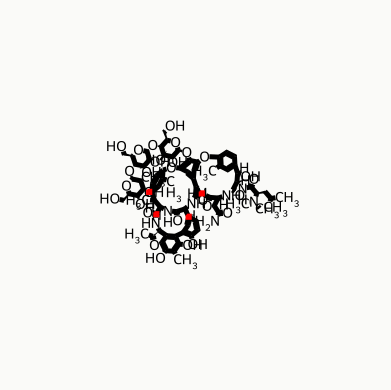 CC(=O)[C@@H]1NC(=O)[C@H]2NC(=O)[C@H](NC(=O)[C@@H]3NC(=O)[C@H](CC(N)=O)NC(=O)[C@H](NC(=O)[C@@H](CC(C)C)N(C)C)[C@H](O)c4ccc(c(C)c4)Oc4cc3cc(c4O[C@@H]3O[C@H](CO)[C@@H](O[C@@H]4O[C@H](CO)[C@@H](O[C@@H]5O[C@H](CO)[C@H](O)[C@H](O)[C@H]5C)[C@H](O)[C@H]4O)[C@H](O)[C@H]3O)Oc3ccc(cc3C)[C@H]2C)c2ccc(O)c(c2)-c2c1cc(O)c(C)c2O